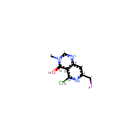 Cn1cnc2cc(CI)nc(Cl)c2c1=O